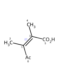 CC(=O)/C(C)=C(/C)C(=O)O